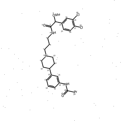 COC(C(=O)NCCCN1CCC(c2cccc(NC(=O)C(C)C)c2)CC1)c1ccc(Cl)c(Cl)c1